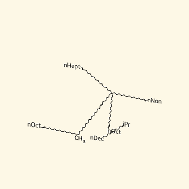 CCCCCCCC=CCCCCCCCCCCCCCC(CCCCCCCCCCCCC=CCCCCCCCC)(CCCCCCCCCCCCC=CCCCCCCCCC)CCCCCCCCCCCCCC=CCCCCCCCC(C)CCCCCCCCCCCCC=CCCCCCCCC.CCCCCCCCCCCCCC=CCCCCCC(C)C